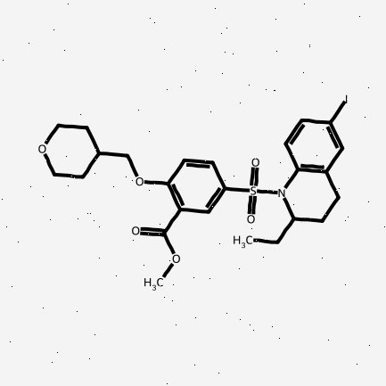 CCC1CCc2cc(I)ccc2N1S(=O)(=O)c1ccc(OCC2CCOCC2)c(C(=O)OC)c1